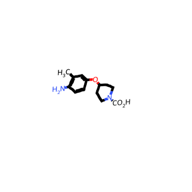 Cc1cc(OC2CCN(C(=O)O)CC2)ccc1N